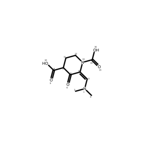 CN(C)C=C1C(=O)C(C(=O)O)CCN1C(=O)O